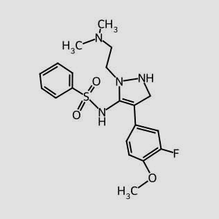 COc1ccc(C2=C(NS(=O)(=O)c3ccccc3)N(CCN(C)C)NC2)cc1F